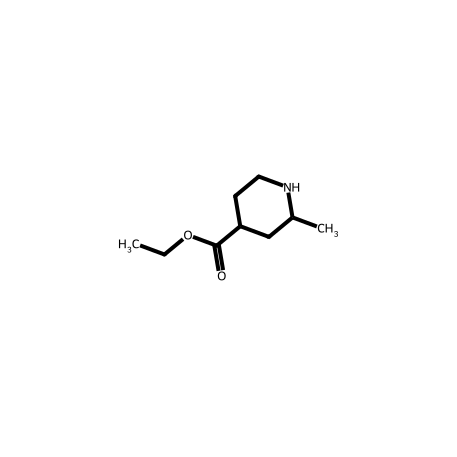 CCOC(=O)C1CCNC(C)C1